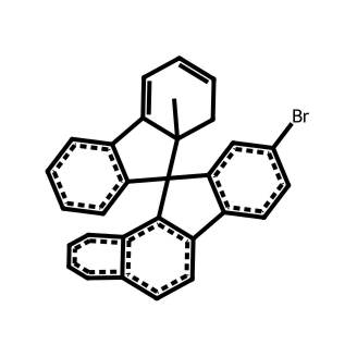 CC12CC=CC=C1c1ccccc1C21c2cc(Br)ccc2-c2ccc3ccccc3c21